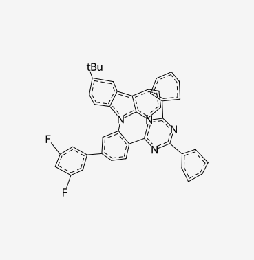 CC(C)(C)c1ccc2c(c1)c1ccccc1n2-c1cc(-c2cc(F)cc(F)c2)ccc1-c1nc(-c2ccccc2)nc(-c2ccccc2)n1